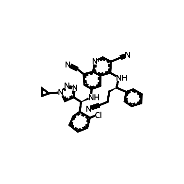 N#CCC[C@@H](Nc1c(C#N)cnc2c(C#N)cc(N[C@H](c3cn(C4CC4)nn3)c3ccccc3Cl)cc12)c1ccccc1